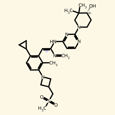 C=N/C(=C\c1c(C2CC2)ccc(N2CC(CS(C)(=O)=O)C2)c1C)Nc1ccnc(N2CC[C@@H](O)C(C)(C)C2)n1